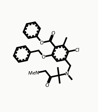 CNCC(=O)C(C)(C)N(C)Cc1cc(OCc2ccccc2)c(C(=O)Oc2ccccc2)c(C)c1Cl